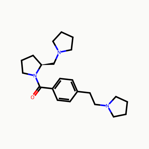 O=C(c1ccc(CCN2CCCC2)cc1)N1CCC[C@H]1CN1CCCC1